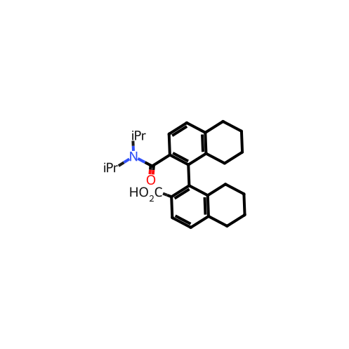 CC(C)N(C(=O)c1ccc2c(c1-c1c(C(=O)O)ccc3c1CCCC3)CCCC2)C(C)C